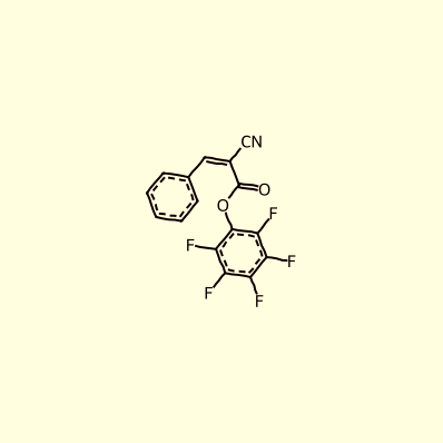 N#CC(=Cc1ccccc1)C(=O)Oc1c(F)c(F)c(F)c(F)c1F